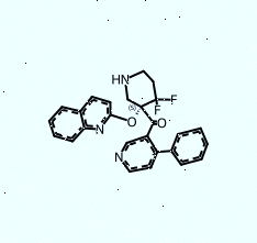 O=C(c1cnccc1-c1ccccc1)[C@@]1(Oc2ccc3ccccc3n2)CNCCC1(F)F